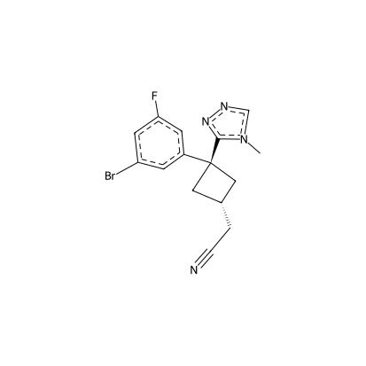 Cn1cnnc1[C@]1(c2cc(F)cc(Br)c2)C[C@@H](CC#N)C1